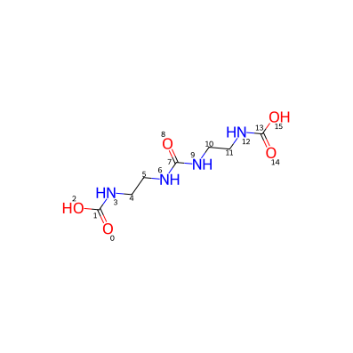 O=C(O)NCCNC(=O)NCCNC(=O)O